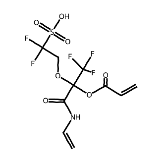 C=CNC(=O)C(OCC(F)(F)S(=O)(=O)O)(OC(=O)C=C)C(F)(F)F